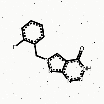 O=c1[nH]nnc2nn(Cc3ccccc3F)cc12